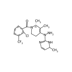 CC1=C(N(N)C2=NC=CC(C)N2)CCN(C(=O)c2cccc(C(F)(F)F)c2Cl)[C@@H]1C